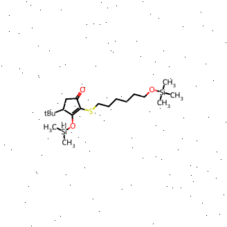 C[SiH](C)OC1=C(SCCCCCCO[Si](C)(C)C)C(=O)CC1C(C)(C)C